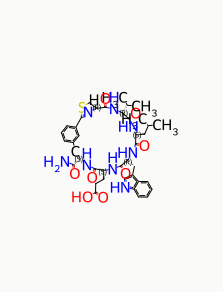 CC(C)C[C@@H]1NC(=O)[C@@H](C(C)C)NC(=O)[C@@H]2CSC(=N2)c2cccc(c2)C[C@@H](C(N)=O)NC(=O)[C@H](CCC(=O)O)NC(=O)[C@@H](Cc2c[nH]c3ccccc23)NC1=O